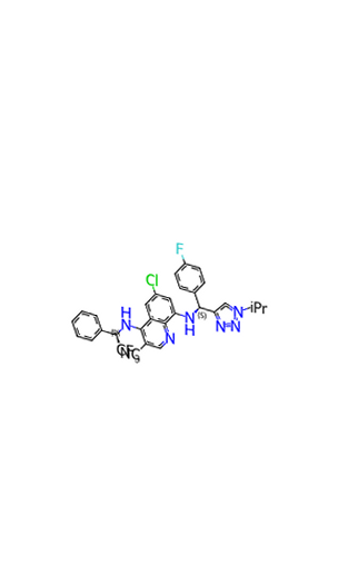 CC(C)n1cc([C@@H](Nc2cc(Cl)cc3c(N[C@H](c4ccccc4)C(F)(F)F)c(C#N)cnc23)c2ccc(F)cc2)nn1